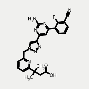 CC(C)(CC(=O)O)c1cccc(Cn2cc(-c3cc(-c4cccc(C#N)c4F)nc(N)n3)nn2)n1